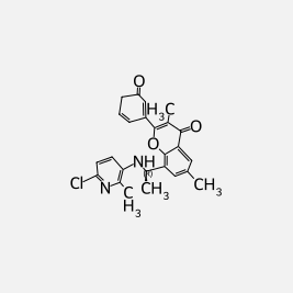 Cc1cc([C@@H](C)Nc2ccc(Cl)nc2C)c2oc(C3=CC(=O)CC=C3)c(C)c(=O)c2c1